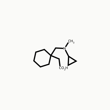 CN(CC1(CC(=O)O)CCCCC1)C1CC1